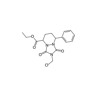 CCOC(=O)C1CCC(c2ccccc2)n2c(=O)n(CCl)c(=O)n21